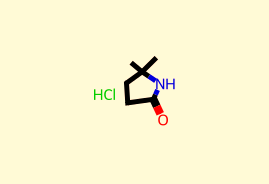 CC1(C)CCC(=O)N1.Cl